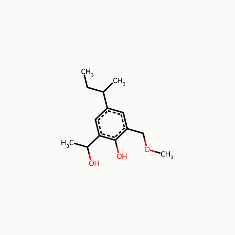 CCC(C)c1cc(COC)c(O)c(C(C)O)c1